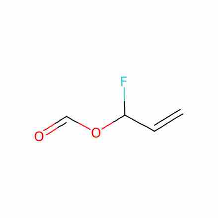 C=CC(F)OC=O